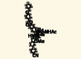 COC(=O)C(Cc1ccc(-c2ccc(C#N)cc2)cc1)NC(=O)C1Cc2cc3c(cc2CN1S(=O)(=O)c1sc(NC(C)=O)nc1C)OC(c1ccc(OCc2ccccc2)cc1)CO3